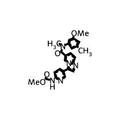 COC(=O)Nc1ccc(-c2cnc3ccc(C(=O)N(C)c4cc(C)cc(OC)c4)cn23)cn1